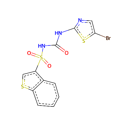 O=C(Nc1ncc(Br)s1)NS(=O)(=O)c1csc2ccccc12